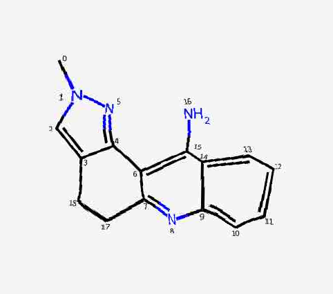 Cn1cc2c(n1)-c1c(nc3ccccc3c1N)CC2